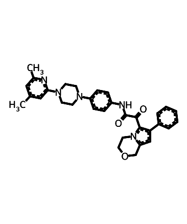 Cc1cc(C)nc(N2CCN(c3ccc(NC(=O)C(=O)c4c(-c5ccccc5)cc5n4CCOC5)cc3)CC2)c1